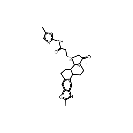 Cc1nc2cc3c(cc2o1)CCC1C3CC[C@]2(C)C(=O)C[C@@H](CCC(=O)Nc3ncc(C)s3)C12